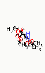 CCOC(=O)C(CCNC(=O)OC(C)(C)C)C(=O)OCC